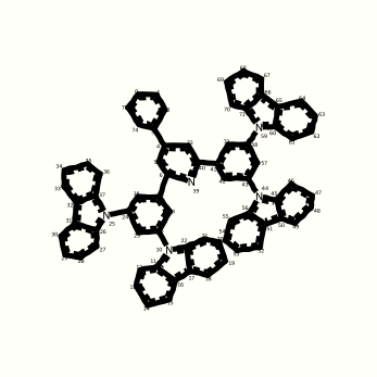 c1ccc(-c2cc(-c3cc(-n4c5ccccc5c5ccccc54)cc(-n4c5ccccc5c5ccccc54)c3)nc(-c3cc(-n4c5ccccc5c5ccccc54)cc(-n4c5ccccc5c5ccccc54)c3)c2)cc1